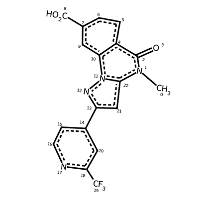 Cn1c(=O)c2ccc(C(=O)O)cc2n2nc(-c3ccnc(C(F)(F)F)c3)cc12